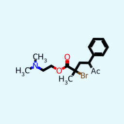 CC(=O)C(CC(C)(Br)C(=O)OCCN(C)C)c1ccccc1